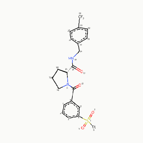 CCS(=O)(=O)c1cccc(C(=O)N2CCC[C@@H]2C(=O)NCc2ccc(C(F)(F)F)cc2)c1